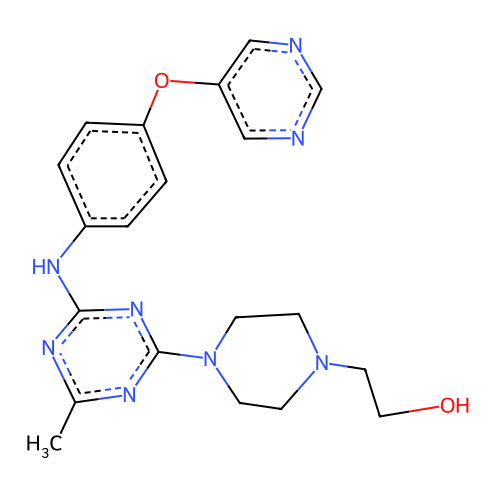 Cc1nc(Nc2ccc(Oc3cncnc3)cc2)nc(N2CCN(CCO)CC2)n1